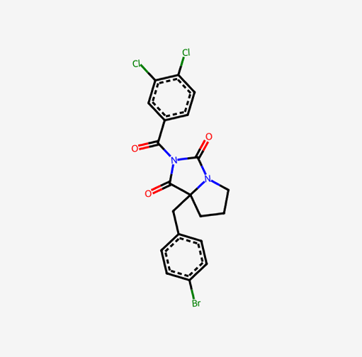 O=C(c1ccc(Cl)c(Cl)c1)N1C(=O)N2CCCC2(Cc2ccc(Br)cc2)C1=O